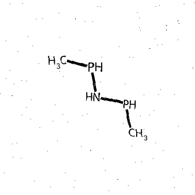 CPNPC